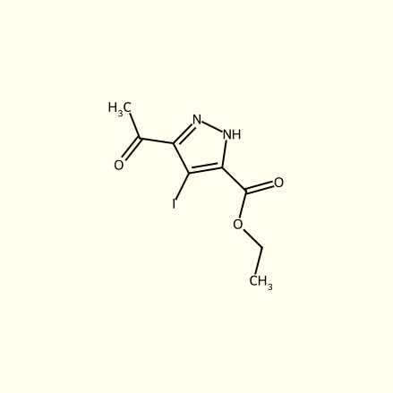 CCOC(=O)c1[nH]nc(C(C)=O)c1I